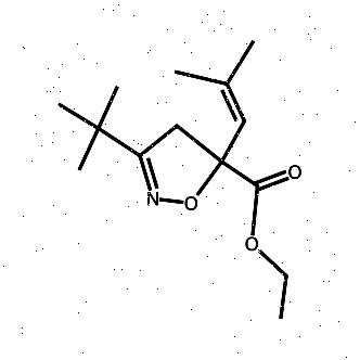 CCOC(=O)C1(C=C(C)C)CC(C(C)(C)C)=NO1